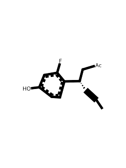 CC#C[C@@H](CC(C)=O)c1ccc(O)cc1F